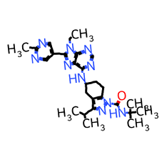 CCn1c(-c2cnc(C)nc2)nc2c(NC3CCc4c(c(C(C)C)nn4C(=O)NC(C)(C)C)C3)ncnc21